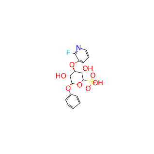 O=S(=O)(O)C1O[C@@H](Oc2ccccc2)[C@H](O)[C@@H](Oc2cccnc2F)[C@@H]1O